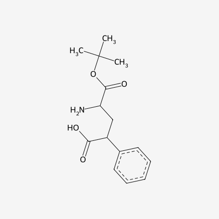 CC(C)(C)OC(=O)C(N)CC(C(=O)O)c1ccccc1